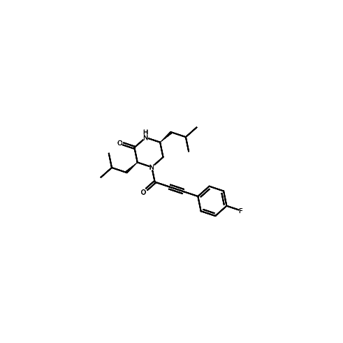 CC(C)C[C@H]1CN(C(=O)C#Cc2ccc(F)cc2)[C@@H](CC(C)C)C(=O)N1